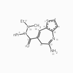 CCCN(C(=O)C1=Cc2sccc2N=C(N)C1)N(C)CC